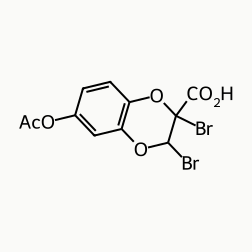 CC(=O)Oc1ccc2c(c1)OC(Br)C(Br)(C(=O)O)O2